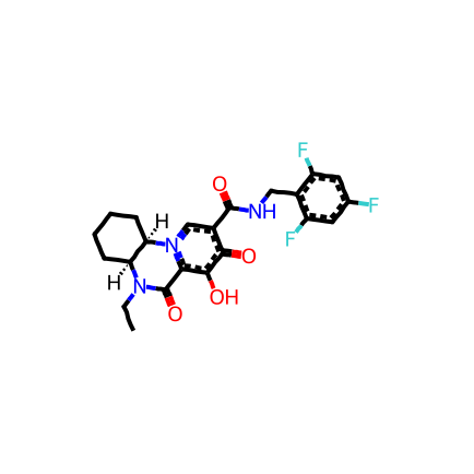 CCN1C(=O)c2c(O)c(=O)c(C(=O)NCc3c(F)cc(F)cc3F)cn2[C@@H]2CCCC[C@@H]21